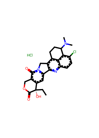 CC[C@@]1(O)C(=O)OCc2c1cc1n(c2=O)Cc2c-1nc1ccc(Cl)c3c1c2CCC3N(C)C.Cl